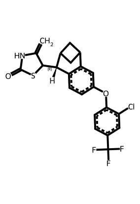 C=C1NC(=O)SC1[C@H]1c2ccc(Oc3ccc(C(F)(F)F)cc3Cl)cc2C2CC1C2